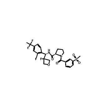 CC(F)(F)c1ccc([C@H](NC(=O)[C@H]2CCCN2C(=O)c2cccc(S(C)(=O)=O)c2)C2(F)COC2)c(F)c1